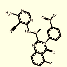 C[C@H](Nc1ncnc(N)c1C#N)c1nc2cccc(Cl)c2c(=O)n1-c1cccc([N+](=O)[O-])c1